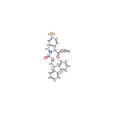 COC(=O)C1c2ccc(S)cc2CN1C(=O)OCC1c2ccccc2-c2ccccc21